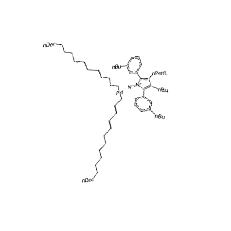 CCCCCC1=C(c2cccc(CCCC)c2)[N+](=[N-])C(c2cccc(CCCC)c2)=C1CCCC.CCCCCCCCCCCCCCCCCCCC[CH2][Pd][CH2]CCCCCCCCCCCCCCCCCCCC